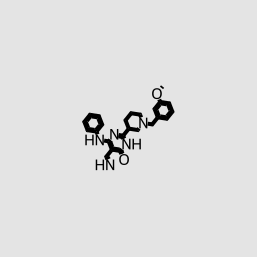 COc1cccc(CN2CCCC(c3nc(Nc4ccccc4)c(C=N)c(=O)[nH]3)C2)c1